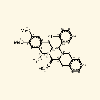 COc1cc2c(cc1OC)[C@@H](C)N(C(=O)[C@@H]1Cc3ccccc3CN1Cc1ccccc1F)CC2.Cl